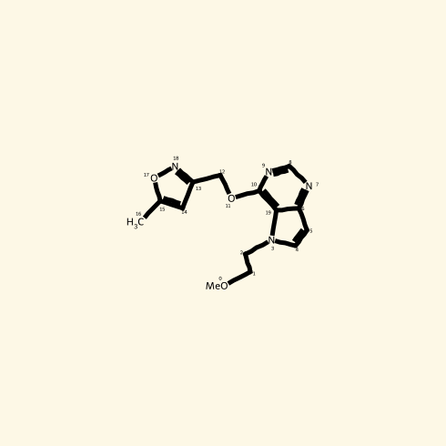 COCCn1ccc2ncnc(OCc3cc(C)on3)c21